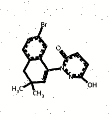 CC1(C)C=C(n2nc(O)ccc2=O)c2cc(Br)ccc2C1